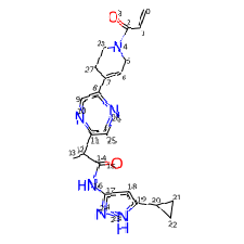 C=CC(=O)N1CC=C(c2cnc(C(C)C(=O)Nc3cc(C4CC4)[nH]n3)cn2)CC1